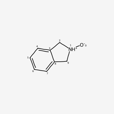 [O-][NH+]1Cc2ccccc2C1